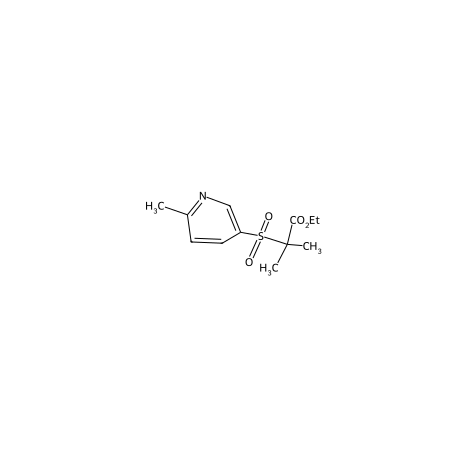 CCOC(=O)C(C)(C)S(=O)(=O)c1ccc(C)nc1